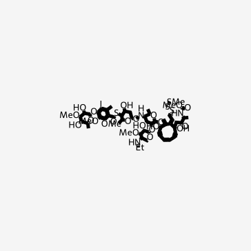 C=C1/C(=C\CSSSC)[C@@](O)(CC(=O)C(C)NC(=O)OC)C#C/C=C\C#C[C@]1(O)OC1OC(C)C(NOC2CC(O)C(SC(=O)c3c(C)c(I)c(OC4OC(C)C(O)C(OC)C4O)c(OC)c3OC)C(C)O2)C(O)C1OC1CC(OC)C(NCC)CO1